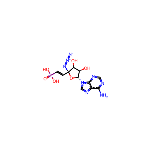 [N-]=[N+]=N[C@]1(/C=C/P(=O)(O)O)O[C@@H](n2cnc3c(N)ncnc32)[C@H](O)[C@@H]1O